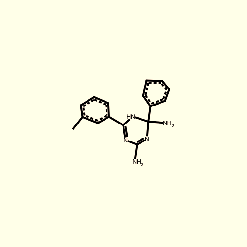 Cc1cccc(C2=NC(N)=NC(N)(c3ccccc3)N2)c1